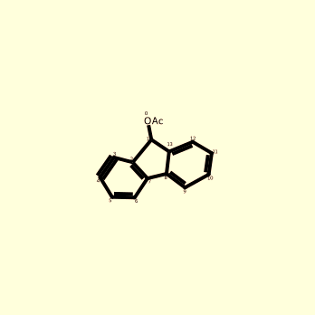 CC(=O)OC1c2c#cccc2-c2ccccc21